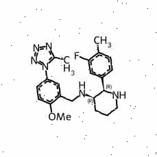 COc1ccc(-n2nnnc2C)cc1CN[C@@H]1CCCN[C@@H]1c1ccc(C)c(F)c1